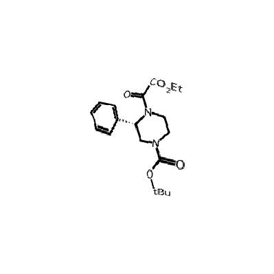 CCOC(=O)C(=O)N1CCN(C(=O)OC(C)(C)C)C[C@@H]1c1ccccc1